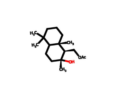 CC(=O)OC[C@@H]1[C@@]2(C)CCCC(C)(C)C2CC[C@@]1(C)O